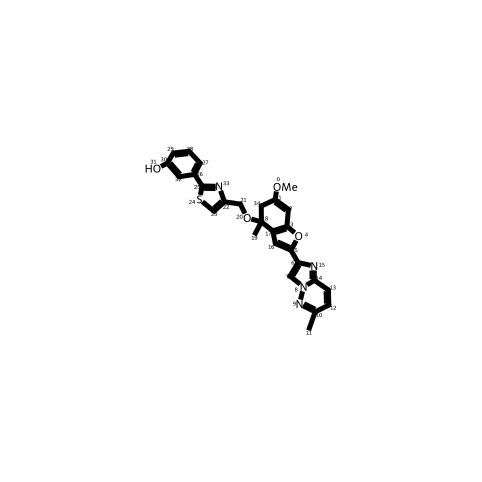 COC1=Cc2oc(-c3cn4nc(C)ccc4n3)cc2C(C)(OCc2csc(-c3cccc(O)c3)n2)C1